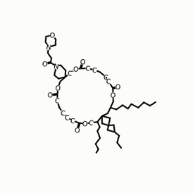 CCCCCCCCC1COC(=O)CCCCCC(=O)OCC2(CCN(C(=O)CCN3CCOCC3)CC2)COC(=O)CCCCCC(=O)OCC(CCCCCC)C2(C1)CC1(CC(CCC)C1)C2